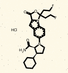 Cl.NC(=O)[C@@H]1[C@H](C2CCCCC2)CCN1c1ccc2c(c1)cc1n2C(CCF)(CCF)OC1=O